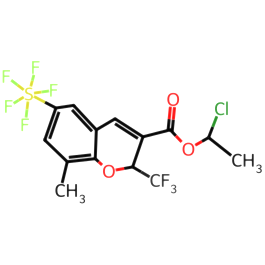 Cc1cc(S(F)(F)(F)(F)F)cc2c1OC(C(F)(F)F)C(C(=O)OC(C)Cl)=C2